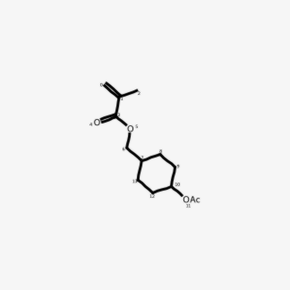 C=C(C)C(=O)OCC1CCC(OC(C)=O)CC1